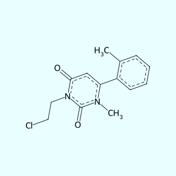 Cc1ccccc1-c1cc(=O)n(CCCl)c(=O)n1C